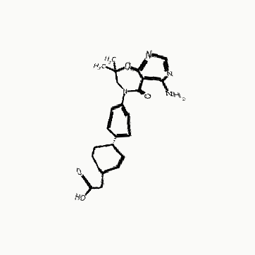 CC1(C)CN(c2ccc([C@H]3CC[C@H](CC(=O)O)CC3)cc2)C(=O)c2c(N)ncnc2O1